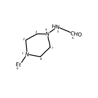 CCN1CCN(NC=O)CC1